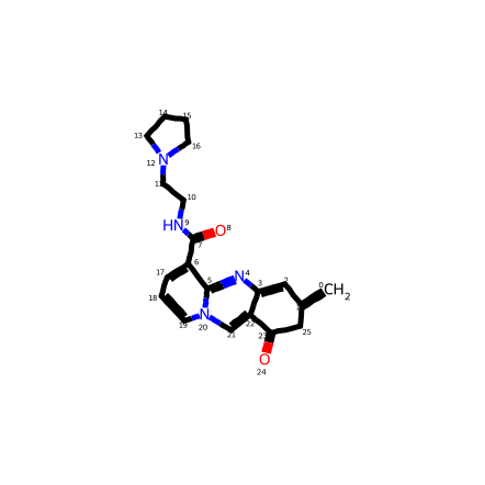 C=C1C=C2N=C3C(C(=O)NCCN4CCCC4)=CC=CN3C=C2C(=O)C1